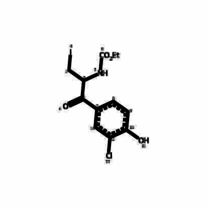 CCOC(=O)NC(CI)C(=O)c1ccc(O)c(Cl)c1